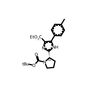 CCOC(=O)c1nc([C@@H]2CCCN2C(=O)OC(C)(C)C)[nH]c1-c1ccc(C)cc1